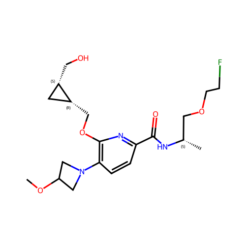 COC1CN(c2ccc(C(=O)N[C@@H](C)COCCF)nc2OC[C@@H]2C[C@@H]2CO)C1